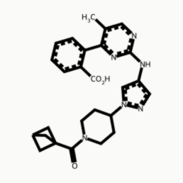 Cc1cnc(Nc2cnn(C3CCN(C(=O)C45CC(C4)C5)CC3)c2)nc1-c1ccccc1C(=O)O